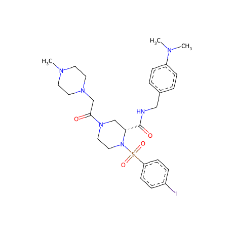 CN1CCN(CC(=O)N2CCN(S(=O)(=O)c3ccc(I)cc3)[C@@H](C(=O)NCc3ccc(N(C)C)cc3)C2)CC1